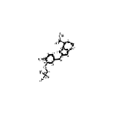 O=C(O)c1ccnc2cc(Cc3ccc(Cl)c(OCC(F)(F)F)c3)[nH]c12